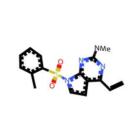 C=Cc1nc(NC)nc2c1ccn2S(=O)(=O)c1ccccc1C